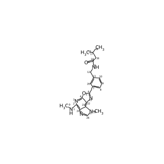 CNc1nc2oc(-c3cccc(CNC(=O)CC(C)C)c3)nc2c2c1ncn2C